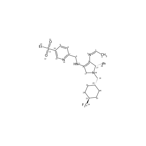 C/C=N\C1=C(NCc2ccc(S(=O)(=O)CC)cn2)CN(C[C@H]2CC[C@H](C(F)(F)F)CC2)[C@H]1C(C)C